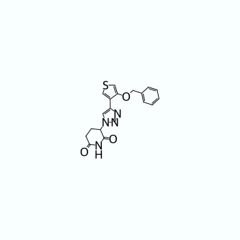 O=C1CCC(n2cc(-c3cscc3OCc3ccccc3)nn2)C(=O)N1